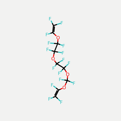 FC(F)=C(F)OC(F)(F)OC(F)(F)C(F)(F)OC(F)(F)C(F)(F)OC(F)=C(F)F